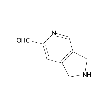 O=Cc1cc2c(cn1)CNC2